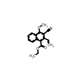 C=Cc1c(C#N)c(OC)c2ccccc2c1C(=O)OCC